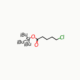 CCC(C)[Si](OC(=O)CCCCCl)(C(C)CC)C(C)CC